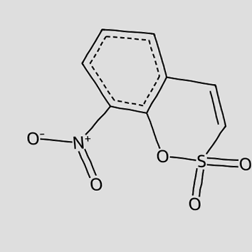 O=[N+]([O-])c1cccc2c1OS(=O)(=O)C=C2